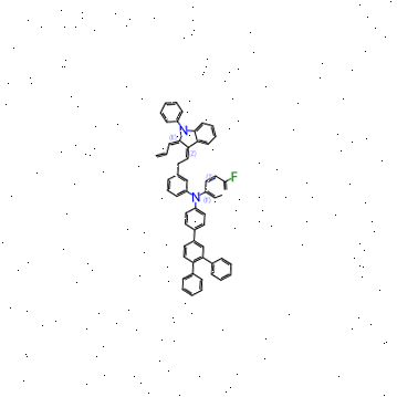 C=C/C=c1\c(=C/Cc2cccc(N(C(/C=C\C(=C)F)=C/C)c3ccc(-c4ccc(-c5ccccc5)c(-c5ccccc5)c4)cc3)c2)c2ccccc2n1-c1ccccc1